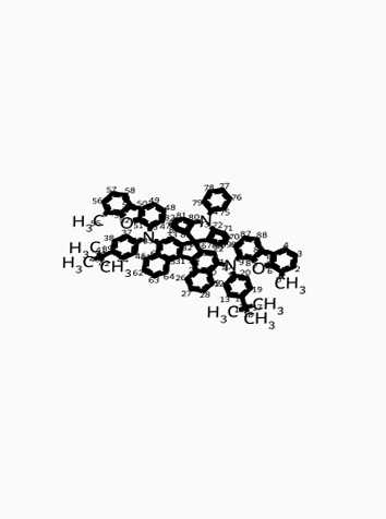 Cc1cccc2c1oc1c(N(c3ccc(C(C)(C)C)cc3)c3cc4c(c5ccccc35)-c3c(cc(N(c5ccc(C(C)(C)C)cc5)c5cccc6c5oc5c(C)cccc56)c5ccccc35)C43c4ccccc4N(c4ccccc4)c4ccccc43)cccc12